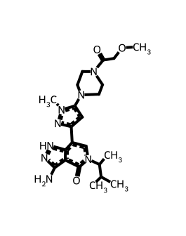 COCC(=O)N1CCN(c2cc(-c3cn(C(C)C(C)C)c(=O)c4c(N)n[nH]c34)nn2C)CC1